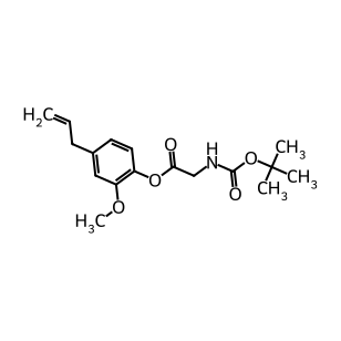 C=CCc1ccc(OC(=O)CNC(=O)OC(C)(C)C)c(OC)c1